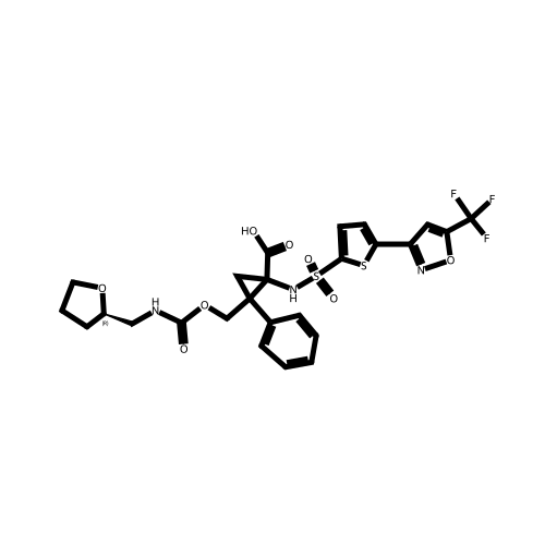 O=C(NC[C@H]1CCCO1)OCC1(c2ccccc2)CC1(NS(=O)(=O)c1ccc(-c2cc(C(F)(F)F)on2)s1)C(=O)O